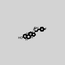 C[C@]12CC[C@H](O)C[C@@H]1CC[C@@H]1[C@@H]2CC[C@]2(C)[C@@H](C(CCc3ccc(F)cc3)=NO)CC[C@@H]12